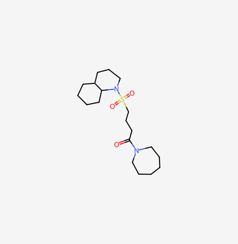 O=C(CCCS(=O)(=O)N1CCCC2CCCCC21)N1CCCCCC1